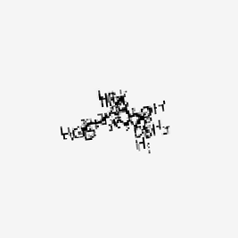 CCCCC(C)C(O)(CC=C1CC[C@H](O)[C@@H]1CCCCCCC(=O)O)CCC